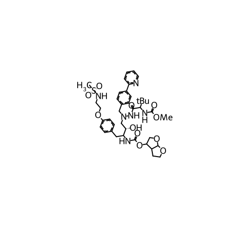 COC(=O)NC(C(=O)NN(Cc1ccc(-c2ccccn2)cc1)C[C@H](O)C(Cc1ccc(OCCNS(C)(=O)=O)cc1)NC(=O)OC1COC2OCCC12)C(C)(C)C